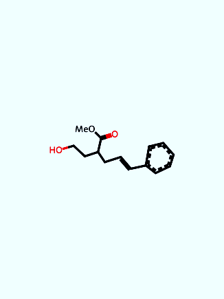 COC(=O)C(C/C=C/c1ccccc1)CCO